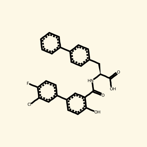 O=C(N[C@@H](Cc1ccc(-c2ccccc2)cc1)C(=O)O)c1cc(-c2ccc(F)c(Cl)c2)ccc1O